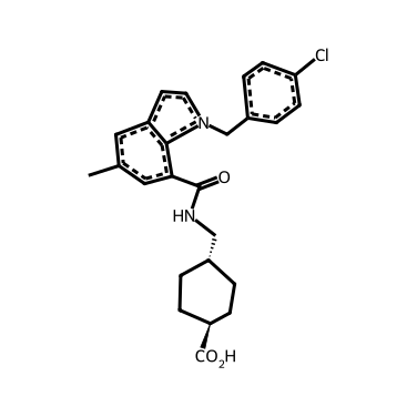 Cc1cc(C(=O)NC[C@H]2CC[C@H](C(=O)O)CC2)c2c(ccn2Cc2ccc(Cl)cc2)c1